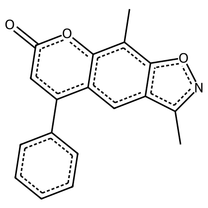 Cc1noc2c(C)c3oc(=O)cc(-c4ccccc4)c3cc12